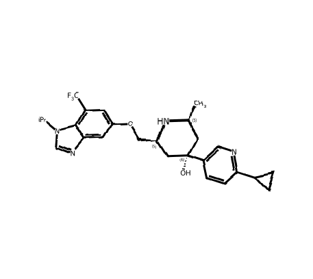 CC(C)n1cnc2cc(OC[C@@H]3C[C@](O)(c4ccc(C5CC5)nc4)C[C@H](C)N3)cc(C(F)(F)F)c21